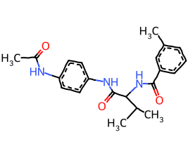 CC(=O)Nc1ccc(NC(=O)C(NC(=O)c2cccc(C)c2)C(C)C)cc1